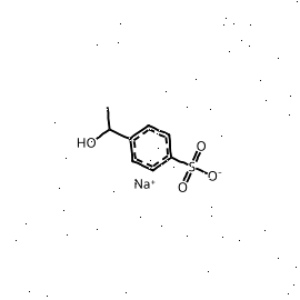 CC(O)c1ccc(S(=O)(=O)[O-])cc1.[Na+]